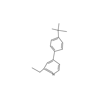 CCc1cc(-c2ccc(C(C)(C)C)cc2)ccn1